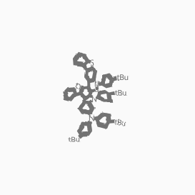 CC(C)(C)c1ccc(N2B3c4cc(C(C)(C)C)ccc4-n4c5cc(N(c6ccc(C(C)(C)C)cc6)c6ccc(C(C)(C)C)cc6)ccc5c5c6c(oc7ccccc76)c(c3c54)-c3cc4c(cc32)sc2ccccc24)cc1